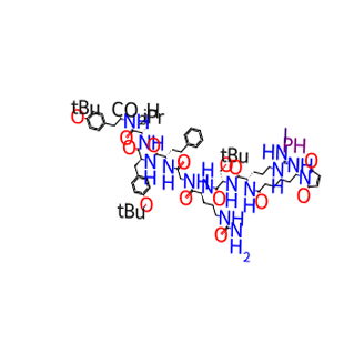 CC(C)C[C@H](NC(=O)[C@H](Cc1ccc(OC(C)(C)C)cc1)NC(=O)[C@H](CCc1ccccc1)NC(=O)CNC(=O)[C@H](CCCNC(N)=O)NC(=O)[C@H](COC(C)(C)C)NC(=O)[C@H](CCCNC(=N)NPI)NC(=O)CCCCCN1C(=O)C=CC1=O)C(=O)N[C@@H](Cc1ccc(OC(C)(C)C)cc1)C(=O)O